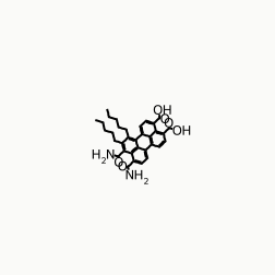 CCCCCc1c(C(N)=O)c2c(C(N)=O)ccc3c4ccc(C(=O)O)c5c(C(=O)O)ccc(c(c1CCCCC)c23)c54